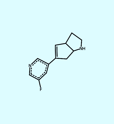 Fc1cncc(C2=CC3CCNC3C2)c1